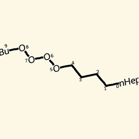 CCCCCCCCCCCOOOOCCCC